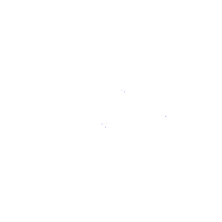 CCOC(=O)C1=C2CCCN2C(C2=NC=CC2CC)=NC1